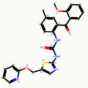 COc1ccccc1C(=O)c1cc(C)ccc1NC(=O)Nc1ncc(COc2ccccn2)s1